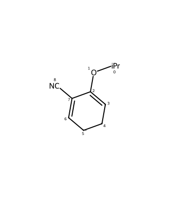 CC(C)OC1=CC[CH]C=C1C#N